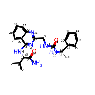 CC(C)[C@H](Nc1nc(CNC(=O)N[C@@H](C)c2ccccc2)nc2ccccc12)C(N)=O